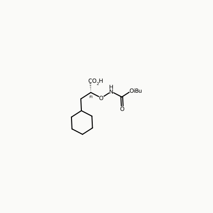 CC(C)COC(=O)NO[C@H](CC1CCCCC1)C(=O)O